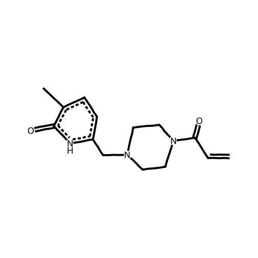 C=CC(=O)N1CCN(Cc2ccc(C)c(=O)[nH]2)CC1